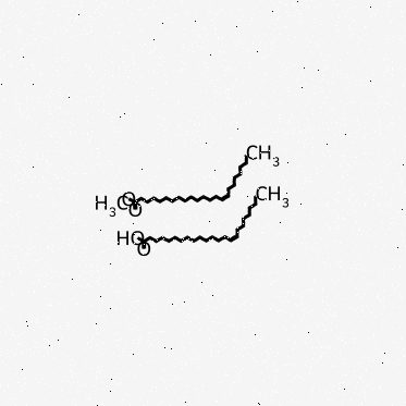 CCCCCCCC/C=C\CCCCCCCCCCCCCC(=O)O.CCCCCCCC/C=C\CCCCCCCCCCCCCC(=O)OC